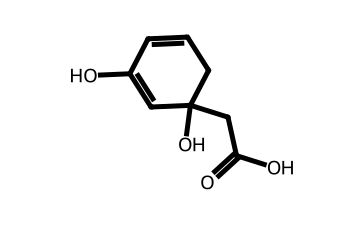 O=C(O)CC1(O)C=C(O)C=CC1